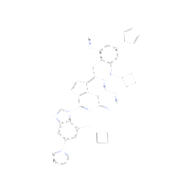 C/C=N\c1cc(C2C=CC=C2)cc(NC2CCC2)c1CC1=C2C=CC3=C2C2C(=NC=NC2=N1)N=C3n1cnc2cc(-n3cccc3)cc(NC3CCC3)c21